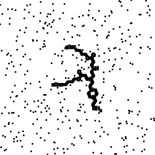 CCCCCCCCCCCCCCOC(=O)CCNCCN(CCC(=O)OCCCCCCCCCCCCCC)CCN1CCN(CCN)CC1